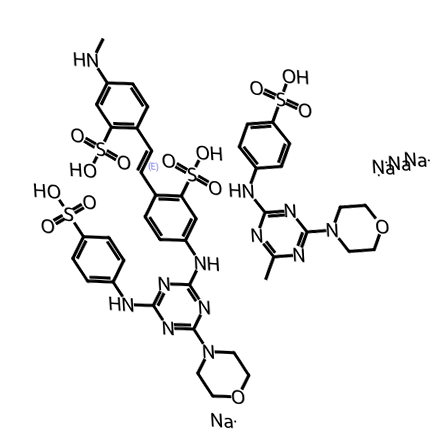 CNc1ccc(/C=C/c2ccc(Nc3nc(Nc4ccc(S(=O)(=O)O)cc4)nc(N4CCOCC4)n3)cc2S(=O)(=O)O)c(S(=O)(=O)O)c1.Cc1nc(Nc2ccc(S(=O)(=O)O)cc2)nc(N2CCOCC2)n1.[Na].[Na].[Na].[Na]